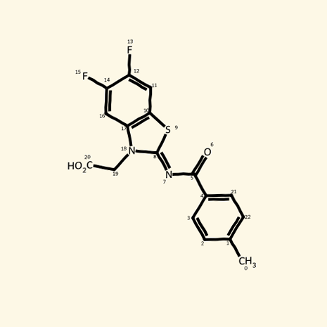 Cc1ccc(C(=O)/N=c2\sc3cc(F)c(F)cc3n2CC(=O)O)cc1